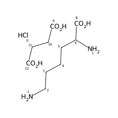 Cl.NCCCCC(N)C(=O)O.O=C(O)CCC(=O)O